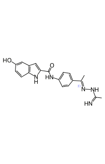 CC(=N)N/N=C(\C)c1ccc(NC(=O)c2cc3cc(O)ccc3[nH]2)cc1